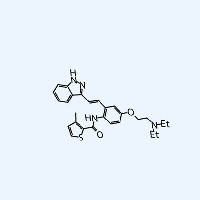 CCN(CC)CCOc1ccc(NC(=O)c2sccc2C)c(/C=C/c2n[nH]c3ccccc23)c1